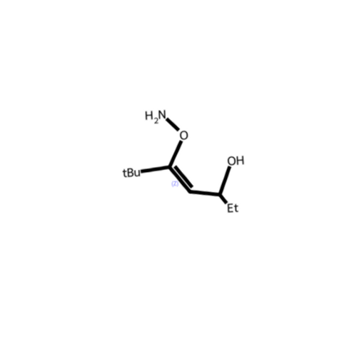 CCC(O)/C=C(\ON)C(C)(C)C